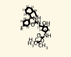 CC(C)(C)OC(=O)NC1CCC(O)(CNC(=O)N2CCc3ccccc3[C@@H]2c2ccc(F)cc2)C1